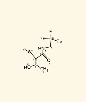 CC(O)=C(C#N)C(=O)NCC(F)(F)F